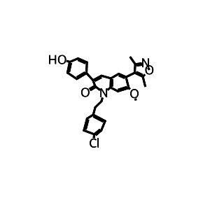 COc1cc2c(cc1-c1c(C)noc1C)cc(-c1ccc(O)cc1)c(=O)n2CCc1ccc(Cl)cc1